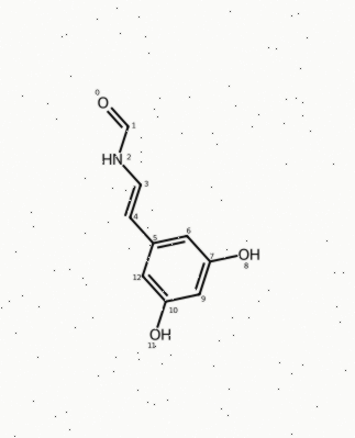 O=CNC=Cc1cc(O)cc(O)c1